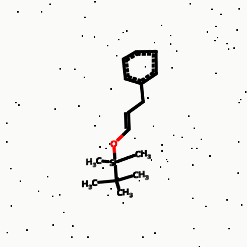 CC(C)(C)[Si](C)(C)OC=CCc1ccccc1